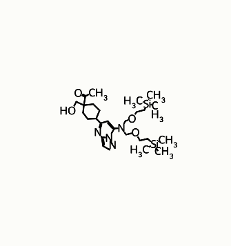 CC(=O)C1(CO)CCC(c2cc(N(COCC[Si](C)(C)C)COCC[Si](C)(C)C)n3nccc3n2)CC1